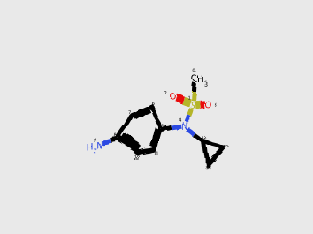 CS(=O)(=O)N(c1ccc(N)cc1)C1CC1